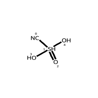 N#C[SH](=O)(O)O